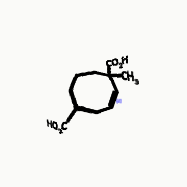 CC1(C(=O)O)/C=C\CC(C(=O)O)CCC1